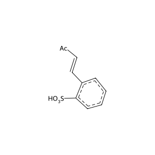 CC(=O)C=Cc1ccccc1S(=O)(=O)O